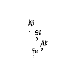 [Al].[Fe].[Ni].[Si]